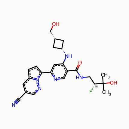 CC(C)(O)[C@H](F)CNC(=O)c1cnc(-c2ccc3cc(C#N)cnn23)cc1N[C@H]1C[C@@H](CO)C1